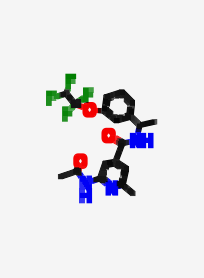 CC(=O)Nc1cc(C(=O)NC(C)c2cccc(OC(F)(F)C(F)F)c2)cc(C)n1